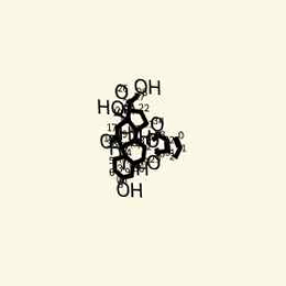 C=CC.C[C@]12CC[C@@H](O)C[C@H]1CC[C@@H]1[C@@H]2C(=O)C[C@@]2(C)[C@H]1CC[C@]2(O)C(=O)CO.O=C1C=CC(=O)O1